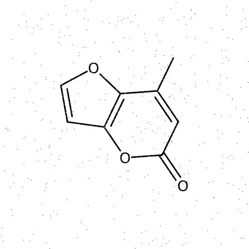 Cc1cc(=O)oc2ccoc12